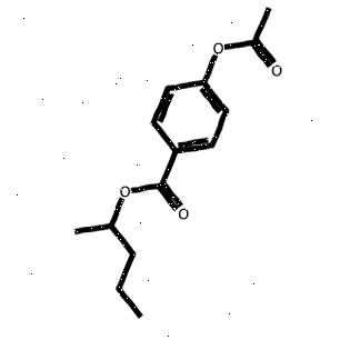 CCCC(C)OC(=O)c1ccc(OC(C)=O)cc1